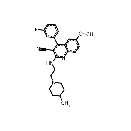 COc1ccc2nc(NCCN3CCC(C)CC3)c(C#N)c(-c3cccc(F)c3)c2c1